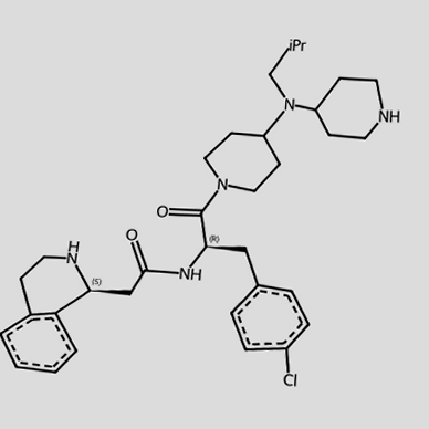 CC(C)CN(C1CCNCC1)C1CCN(C(=O)[C@@H](Cc2ccc(Cl)cc2)NC(=O)C[C@@H]2NCCc3ccccc32)CC1